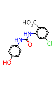 O=C(Nc1ccc(O)cc1)Nc1cc(Cl)ccc1C(=O)O